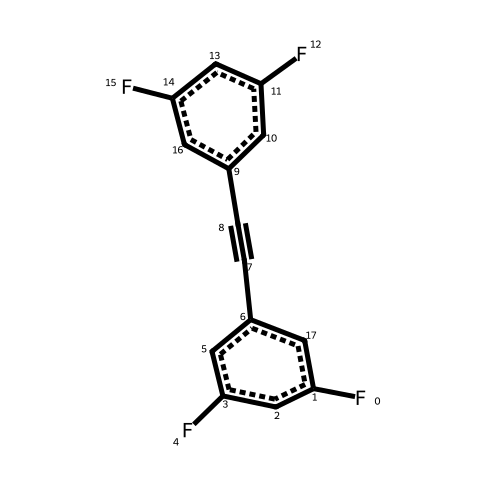 Fc1cc(F)cc(C#Cc2cc(F)cc(F)c2)c1